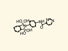 O=C(Nc1ccc(N2S(O)(O)c3ccccc3S2(O)O)cc1)c1ccncn1